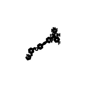 OC(Cn1cnnn1)(c1ccc(F)cc1F)C(F)(F)c1ccc(C#Cc2ccc(OCc3cccc(Cn4cccn4)c3)cc2)cn1